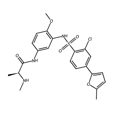 CN[C@@H](C)C(=O)Nc1ccc(OC)c(NS(=O)(=O)c2ccc(-c3ccc(C)o3)cc2Cl)c1